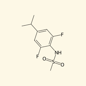 CC(C)c1cc(F)c(NS(C)(=O)=O)c(F)c1